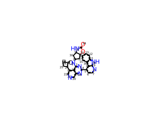 CN(c1nc(-c2ccnc3[nH]c4ccccc4c23)nc2cncc(C3CCC3)c12)C1CC2NC(=O)OC2C1